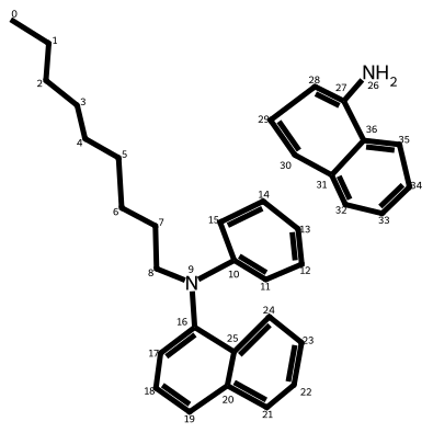 CCCCCCCCCN(c1ccccc1)c1cccc2ccccc12.Nc1cccc2ccccc12